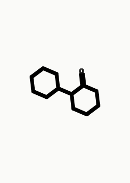 O=C1CCCCC1C1CCCCC1